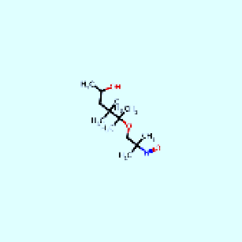 CC(O)CC(C)(C)C(C)(C)OCC(C)(C)N=O